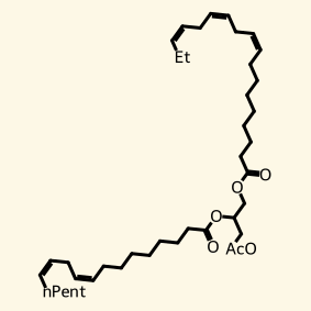 CC/C=C\C/C=C\C/C=C\CCCCCCCC(=O)OCC(COC(C)=O)OC(=O)CCCCCCC/C=C\C/C=C\CCCCC